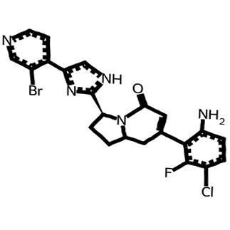 Nc1ccc(Cl)c(F)c1C1=CC(=O)N2C(CC[C@H]2c2nc(-c3ccncc3Br)c[nH]2)C1